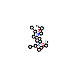 CCc1cccc2c1oc1c(N(c3ccc(-c4ccccc4)cc3-c3ccccc3)c3ccc4ccc5c(N(c6ccc(-c7ccccc7)cc6-c6ccccc6)c6cccc7c6oc6c(CC)cccc67)ccc6ccc3c4c65)cccc12